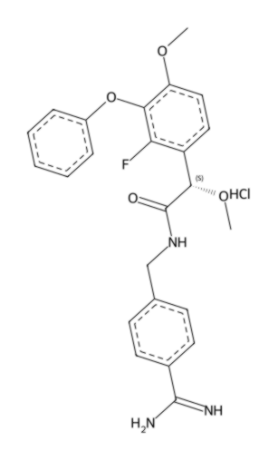 COc1ccc([C@H](OC)C(=O)NCc2ccc(C(=N)N)cc2)c(F)c1Oc1ccccc1.Cl